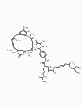 COc1cc2cc(c1Cl)N(C)C(=O)C[C@H](OC(=O)[C@H](C)N(C)C(=O)c1ccc(NC(=O)[C@H](CCCNC(N)=O)NC(=O)[C@@H](NCCCCC(C)OC(CBr)CBr)C(C)C)cc1)[C@]1(C)O[C@H]1[C@H](C)[C@@H]1C[C@@](O)(NC(=O)O1)[C@H](OC)/C=C/C=C(\C)C2